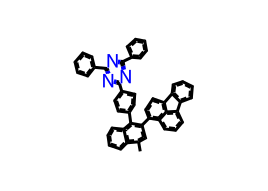 Cc1cc(-c2ccc3c4c(cccc24)-c2ccccc2-3)c(-c2ccc(-c3nc(-c4ccccc4)nc(-c4ccccc4)n3)cc2)c2ccccc12